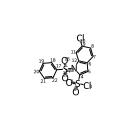 O=S(=O)(Cl)c1cc2ccc(Cl)cc2n1S(=O)(=O)c1ccccc1